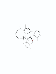 C=C1/C=C\C=C/CN(c2cccc3scnc23)c2c1ccc1c2C(C)(C)c2ccccc2-1